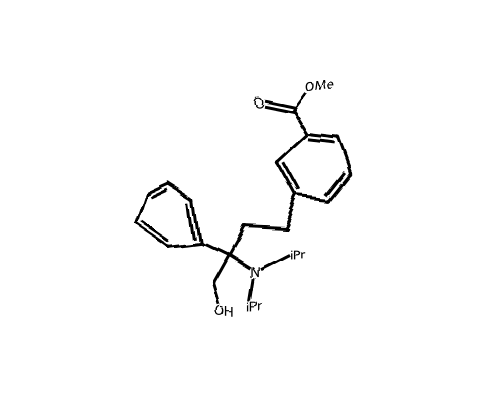 COC(=O)c1cccc(CCC(CO)(c2ccccc2)N(C(C)C)C(C)C)c1